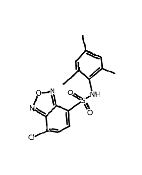 Cc1cc(C)c(NS(=O)(=O)c2ccc(Cl)c3nonc23)c(C)c1